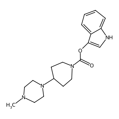 CN1CCN(C2CCN(C(=O)Oc3c[nH]c4ccccc34)CC2)CC1